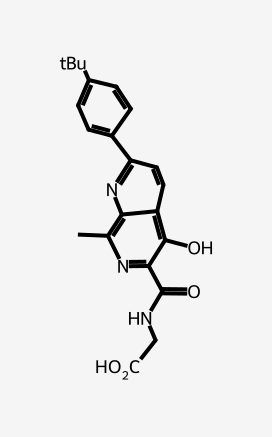 Cc1nc(C(=O)NCC(=O)O)c(O)c2ccc(-c3ccc(C(C)(C)C)cc3)nc12